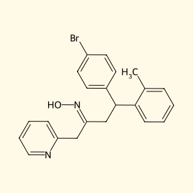 Cc1ccccc1C(CC(Cc1ccccn1)=NO)c1ccc(Br)cc1